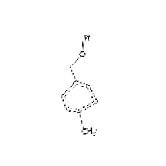 [CH2]c1ccc(COC(C)C)cc1